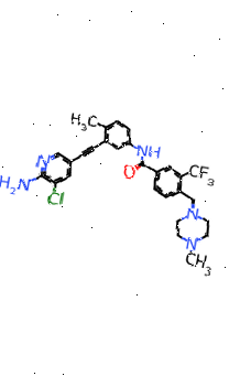 Cc1ccc(NC(=O)c2ccc(CN3CCN(C)CC3)c(C(F)(F)F)c2)cc1C#Cc1cnc(N)c(Cl)c1